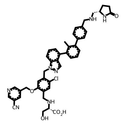 Cc1c(-c2ccc(CNC[C@@H]3CCC(=O)N3)cc2)cccc1-c1cccc2c1cnn2Cc1cc(OCc2cncc(C#N)c2)c(CN[C@@H](CO)C(=O)O)cc1Cl